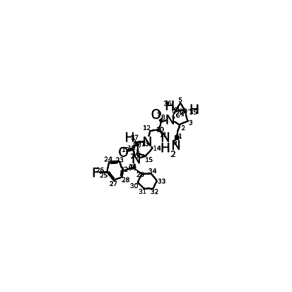 N#CC1C[C@@H]2C[C@@H]2N1C(=O)C(N)CN1CC2C[C@H]1C(=O)N2[C@H](c1ccc(F)cc1)C1CCCCC1